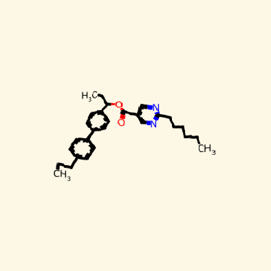 CCCCCCc1ncc(C(=O)OC(CC)c2ccc(-c3ccc(CCC)cc3)cc2)cn1